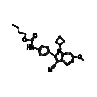 CCCCOC(=O)Nc1ccc(-c2c(C#N)c3ccc(OC)cc3n2C2CCC2)cc1